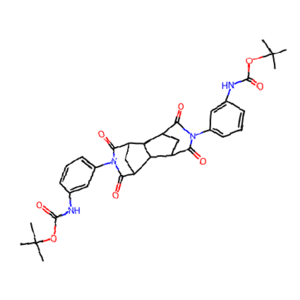 CC(C)(C)OC(=O)Nc1cccc(N2C(=O)C3CC(C2=O)C2C4CC(C(=O)N(c5cccc(NC(=O)OC(C)(C)C)c5)C4=O)C32)c1